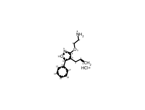 C=CCc1c(OCCN)noc1-c1ccccc1.Cl